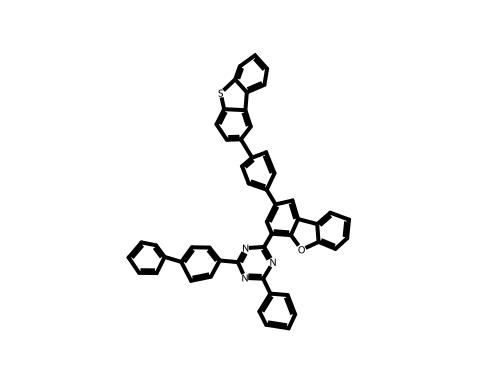 c1ccc(-c2ccc(-c3nc(-c4ccccc4)nc(-c4cc(-c5ccc(-c6ccc7sc8ccccc8c7c6)cc5)cc5c4oc4ccccc45)n3)cc2)cc1